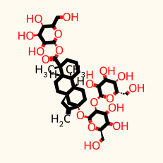 C=C1C[C@@]23CC[C@H]4[C@@](C)(CCC[C@@]4(C)C(=O)O[C@@H]4OC(CO)[C@@H](O)[C@H](O)C4O)[C@@H]2CC[C@]1(O[C@@H]1O[C@H](CO)C(O)C(O)[C@H]1O[C@@H]1O[C@@H](CO)[C@@H](O)C(O)C1O)C3